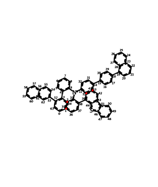 c1ccc(-c2ccccc2N(c2ccc(-c3ccc(-c4cccc5ccccc45)cc3)cc2)c2ccccc2-c2cccc3c2sc2ccccc23)c(-c2ccc3ccccc3c2)c1